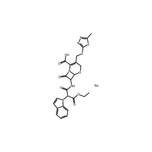 CCOC(=O)C(C(=O)NC1C(=O)N2C(C(=O)O)=C(CSc3nnc(C)s3)CSC12)n1ccc2ccccc21.[Na]